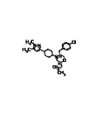 Cc1cc(C2CCC(N3C[C@H](C[S+](C)[O-])OC[C@@H]3Cc3ccc(Cl)cc3)CC2)nn1C